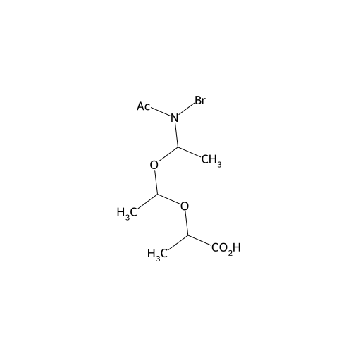 CC(=O)N(Br)C(C)OC(C)OC(C)C(=O)O